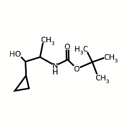 CC(NC(=O)OC(C)(C)C)C(O)C1CC1